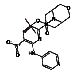 CC(C)(C)OC(=O)N1C2COCC1CN(c1ccc([N+](=O)[O-])c(Nc3ccncc3)n1)C2